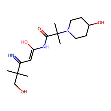 CC(C)(CO)C(=N)/C=C(\O)NC(=O)C(C)(C)N1CCC(O)CC1